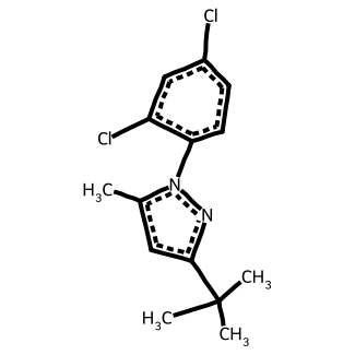 Cc1cc(C(C)(C)C)nn1-c1ccc(Cl)cc1Cl